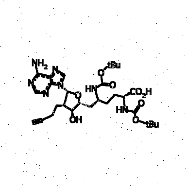 C#CCC[C@@H]1[C@H](O)[C@@H](C[C@H](CC[C@H](NC(=O)OC(C)(C)C)C(=O)O)NC(=O)OC(C)(C)C)O[C@H]1n1cnc2c(N)ncnc21